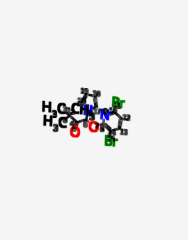 CC(C)(C)C(=O)C(Oc1nc(Br)ccc1Br)n1cccc1